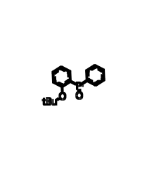 CC(C)(C)Oc1ccccc1[P](=O)c1ccccc1